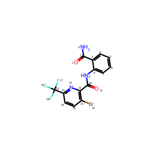 NC(=O)c1ccccc1NC(=O)c1nc(C(F)(F)F)ccc1Br